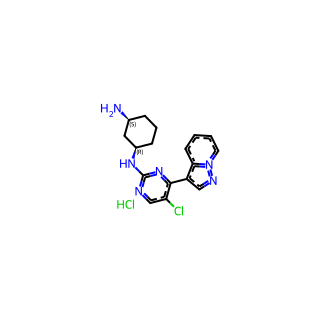 Cl.N[C@H]1CCC[C@@H](Nc2ncc(Cl)c(-c3cnn4ccccc34)n2)C1